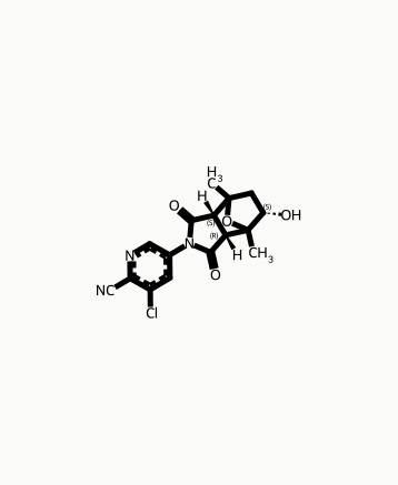 CC12C[C@H](O)C(C)(O1)[C@@H]1C(=O)N(c3cnc(C#N)c(Cl)c3)C(=O)[C@@H]12